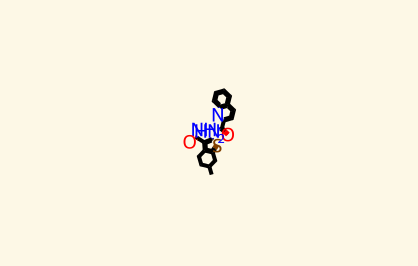 CC1CCc2c(sc(NC(=O)c3ccc4ccccc4n3)c2C(N)=O)C1